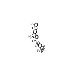 Cc1cc(Oc2c(F)cccc2F)ncc1-n1ncc(C(=O)c2cc3cc(F)c(N(C(C)C)S(C)(=O)=O)cc3[nH]2)c1N